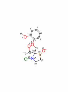 COc1ccccc1OCC1(C(C)=O)N(Cl)CC[S+]1[O-]